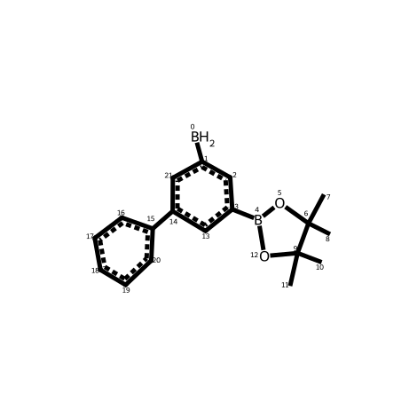 Bc1cc(B2OC(C)(C)C(C)(C)O2)cc(-c2ccccc2)c1